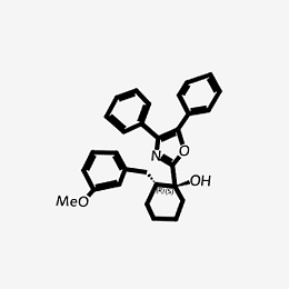 COc1cccc(C[C@H]2CCCC[C@@]2(O)c2nc(-c3ccccc3)c(-c3ccccc3)o2)c1